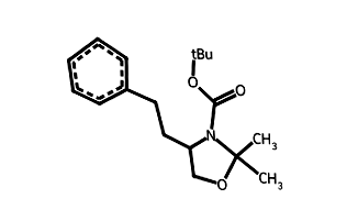 CC(C)(C)OC(=O)N1C(CCc2ccccc2)COC1(C)C